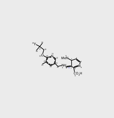 CNC1C=CN=C(C(=O)O)/C1=C/NCc1cnc(OCC(C)(C)F)c(C)c1